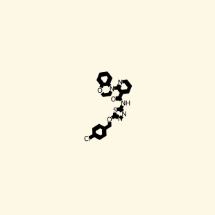 O=C(Nc1nnc(OCc2ccc(Cl)cc2)s1)c1cccnc1N1CCOc2ccccc21